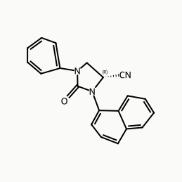 N#C[C@H]1CN(c2ccccc2)C(=O)N1c1cccc2ccccc12